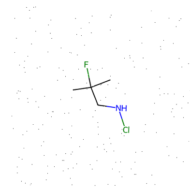 CC(C)(F)CNCl